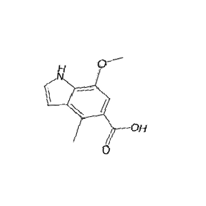 COc1cc(C(=O)O)c(C)c2cc[nH]c12